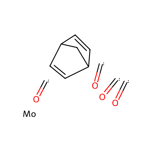 C1=CC2C=CC1C2.[C]=O.[C]=O.[C]=O.[C]=O.[Mo]